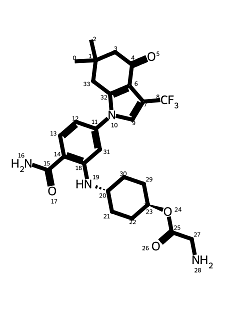 CC1(C)CC(=O)c2c(C(F)(F)F)cn(-c3ccc(C(N)=O)c(N[C@H]4CC[C@H](OC(=O)CN)CC4)c3)c2C1